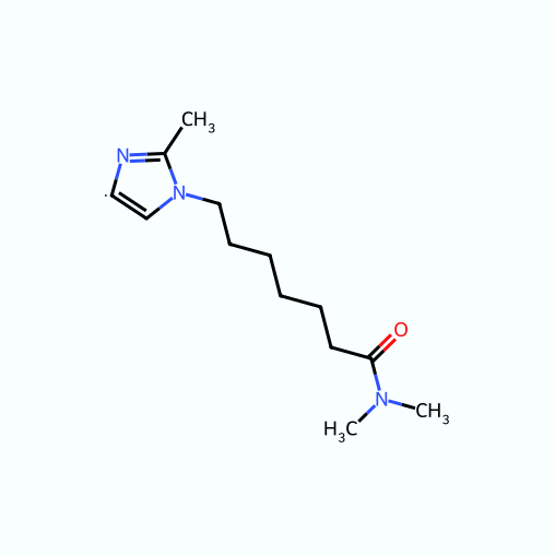 Cc1n[c]cn1CCCCCCC(=O)N(C)C